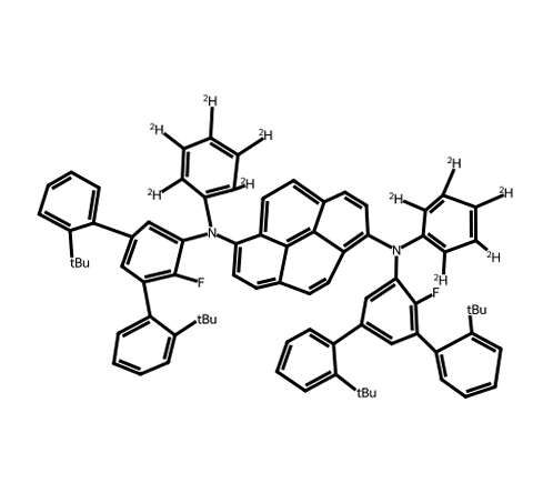 [2H]c1c([2H])c([2H])c(N(c2cc(-c3ccccc3C(C)(C)C)cc(-c3ccccc3C(C)(C)C)c2F)c2ccc3ccc4c(N(c5cc(-c6ccccc6C(C)(C)C)cc(-c6ccccc6C(C)(C)C)c5F)c5c([2H])c([2H])c([2H])c([2H])c5[2H])ccc5ccc2c3c54)c([2H])c1[2H]